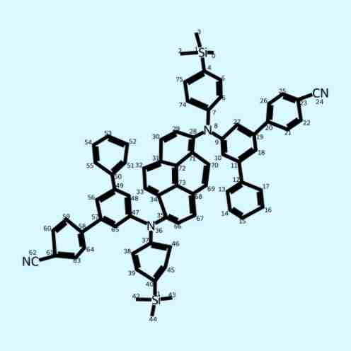 C[Si](C)(C)c1ccc(N(c2cc(-c3ccccc3)cc(-c3ccc(C#N)cc3)c2)c2ccc3ccc4c(N(c5ccc([Si](C)(C)C)cc5)c5cc(-c6ccccc6)cc(-c6ccc(C#N)cc6)c5)ccc5ccc2c3c54)cc1